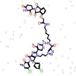 COc1ncc(-c2nc3c(n2CCCn2cc(C(=O)NCCCCCCNC(=O)COc4cccc5c4C(=O)N(C4CCC(=O)NC4=O)C5=O)nn2)[C@@H](c2ccc(Cl)cc2)N(c2cc(Cl)cn(C)c2=O)C3=O)c(OC)n1